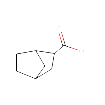 O=C(O)C1CC2CC[C]1C2